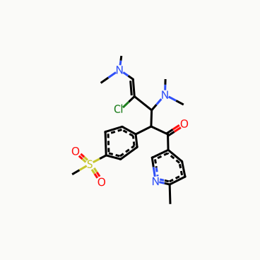 Cc1ccc(C(=O)C(c2ccc(S(C)(=O)=O)cc2)C(/C(Cl)=C/N(C)C)N(C)C)cn1